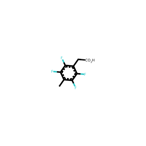 Cc1c(F)c(F)c(CC(=O)O)c(F)c1F